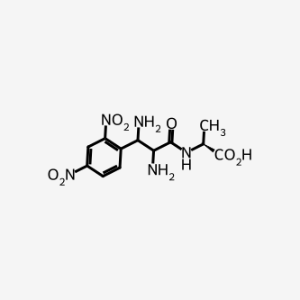 C[C@H](NC(=O)C(N)C(N)c1ccc([N+](=O)[O-])cc1[N+](=O)[O-])C(=O)O